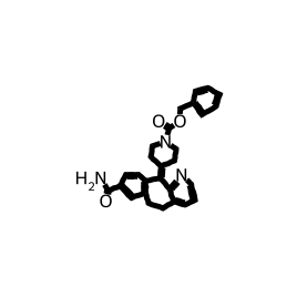 NC(=O)c1ccc2c(c1)CCc1cccnc1C2=C1CCN(C(=O)OCc2ccccc2)CC1